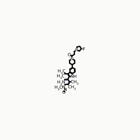 C/C(CN(C)N=O)=C(C)/C(=C\N)c1[nH]c2ccc(C3CCN(C(=O)CCN4CC[C@H](F)C4)CC3)cc2c1C(C)C